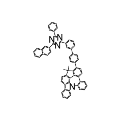 CC1(C)c2ccc3c4ccccc4n4c3c2-c2c(ccc(-c3ccc(-c5cccc(-c6nc(-c7ccccc7)nc(-c7ccc8ccccc8c7)n6)c5)cc3)c21)-c1ccccc1-4